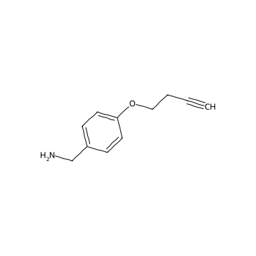 C#CCCOc1ccc(CN)cc1